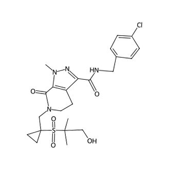 Cn1nc(C(=O)NCc2ccc(Cl)cc2)c2c1C(=O)N(CC1(S(=O)(=O)C(C)(C)CO)CC1)CC2